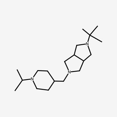 CC(C)N1CCC(CN2CC3CN(C(C)(C)C)CC3C2)CC1